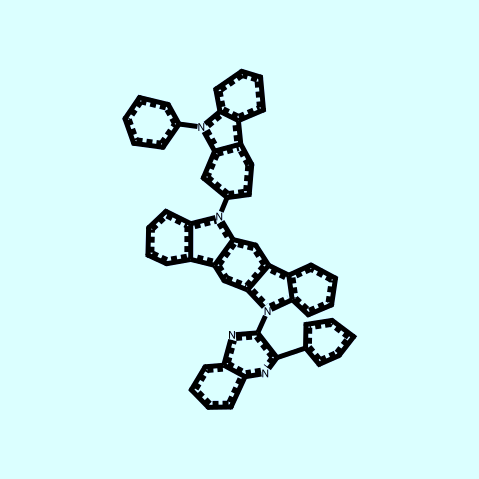 c1ccc(-c2nc3ccccc3nc2-n2c3ccccc3c3cc4c(cc32)c2ccccc2n4-c2ccc3c4ccccc4n(-c4ccccc4)c3c2)cc1